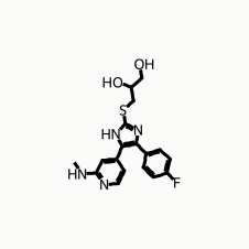 CNc1cc(-c2[nH]c(SCC(O)CO)nc2-c2ccc(F)cc2)ccn1